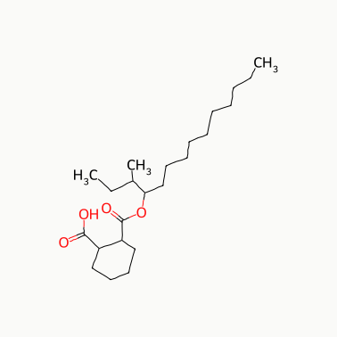 CCCCCCCCCCC(OC(=O)C1CCCCC1C(=O)O)C(C)CC